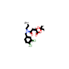 CC(C)CCN(Cc1ccc(Cl)c(Cl)c1)C(=O)/C=C1/OC(C)(C)OC1=O